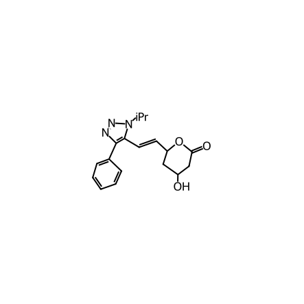 CC(C)n1nnc(-c2ccccc2)c1C=CC1CC(O)CC(=O)O1